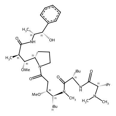 CCC(C)[C@H](NC(=O)[C@H](C(C)C)N(C)C)C(=O)N(C)[C@@H]([C@@H](C)CC)[C@@H](CC(=O)N1CCC[C@H]1[C@H](OC)[C@@H](C)C(=O)N[C@H](C)[C@@H](O)c1ccccc1)OC